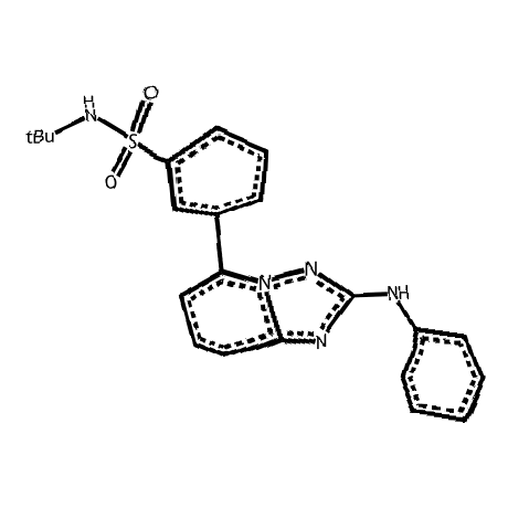 CC(C)(C)NS(=O)(=O)c1cccc(-c2cccc3nc(Nc4ccccc4)nn23)c1